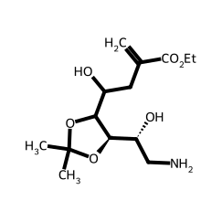 C=C(CC(O)C1OC(C)(C)O[C@@H]1[C@H](O)CN)C(=O)OCC